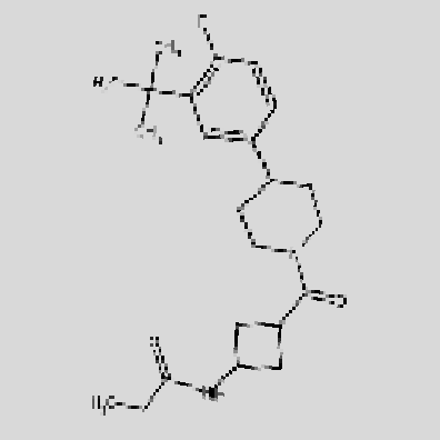 CCC(=O)NC1CC(C(=O)N2CCC(c3ccc(F)c(C(C)(C)C)c3)CC2)C1